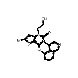 N#CCCn1c(=O)n(-c2cncc3cccc(F)c23)c(=O)c2sc(Br)cc21